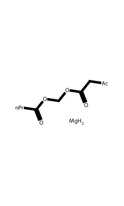 CCCC(=O)OCOC(=O)CC(C)=O.[MgH2]